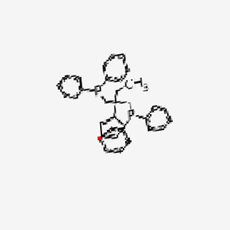 CCC(CP(c1ccccc1)c1ccccc1)(CP(c1ccccc1)c1ccccc1)C1=CC=CC1